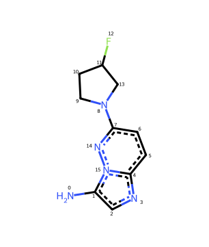 Nc1cnc2ccc(N3CCC(F)C3)nn12